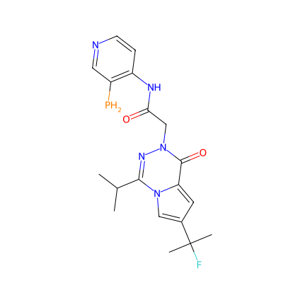 CC(C)c1nn(CC(=O)Nc2ccncc2P)c(=O)c2cc(C(C)(C)F)cn12